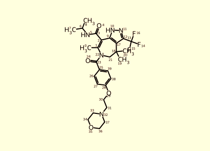 CC1=C(C(=O)NC(C)C)c2[nH]nc(C(F)(F)F)c2C(C)(C)CN1C(=O)c1ccc(OCCN2CCOCC2)cc1